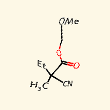 CCC(C)(C#N)C(=O)OCOC